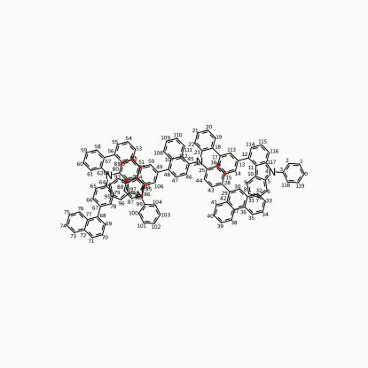 c1ccc(-n2c3ccccc3c3c(-c4cccc(-c5ccccc5N(c5ccc(-c6cc7ccccc7c7ccccc67)cc5)c5ccc(-c6cc(-c7cccc(-c8ccccc8N(c8ccc(-c9cccc%10ccccc9%10)cc8)c8cccc9ccccc89)c7)c7c8ccccc8n(-c8ccccc8)c7c6)c6ccccc56)c4)cccc32)cc1